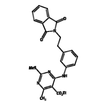 CCOC(=O)c1c(C)nc(SC)nc1Nc1cccc(CCN2C(=O)c3ccccc3C2=O)c1